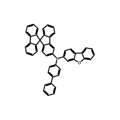 c1ccc(-c2ccc(N(c3ccc4c(c3)-c3ccccc3C43c4ccccc4-c4ccccc43)c3ccc4c(c3)oc3ccccc34)cc2)cc1